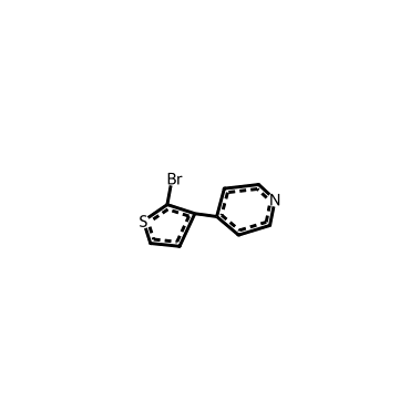 Brc1sccc1-c1ccncc1